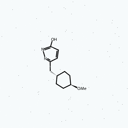 CO[C@H]1CC[C@H](Cc2ccc(O)nn2)CC1